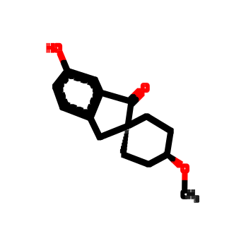 CO[C@H]1CC[C@]2(CC1)Cc1ccc(O)cc1C2=O